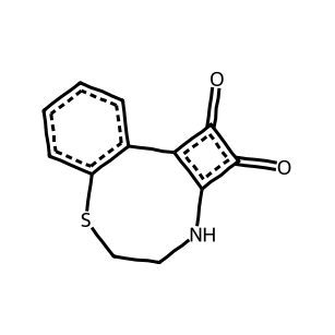 O=c1c2c(c1=O)-c1ccccc1SCCN2